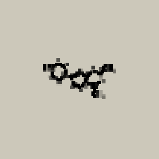 CC1Cc2cc(N3CCNCC3)ccc2N(C)C1